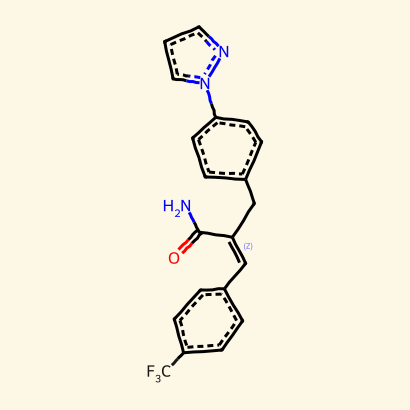 NC(=O)/C(=C\c1ccc(C(F)(F)F)cc1)Cc1ccc(-n2cccn2)cc1